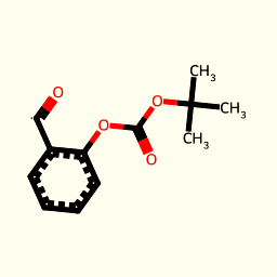 CC(C)(C)OC(=O)Oc1ccccc1[C]=O